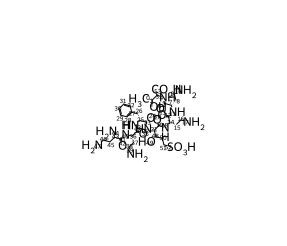 C[C@@H](O)[C@H](NC(=O)[C@H](CCN)NC(=O)[C@H](CCN)NC(=O)[C@@H](NC(=O)[C@@H](Cc1ccccc1)NC(=O)[C@H](CCN)NC(=O)[C@@H](N)CCN)[C@H](O)CCS(=O)(=O)O)C(=O)O